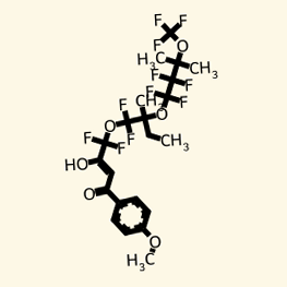 CCC(C)(OC(F)(F)C(F)(F)C(C)(C)OC(F)(F)F)C(F)(F)OC(F)(F)/C(O)=C/C(=O)c1ccc(OC)cc1